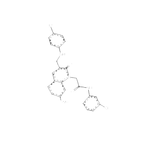 CCc1ccc(NCc2cc3ccc(OC)cc3n(CC(=O)Nc3cccc(Cl)c3)c2=O)cc1